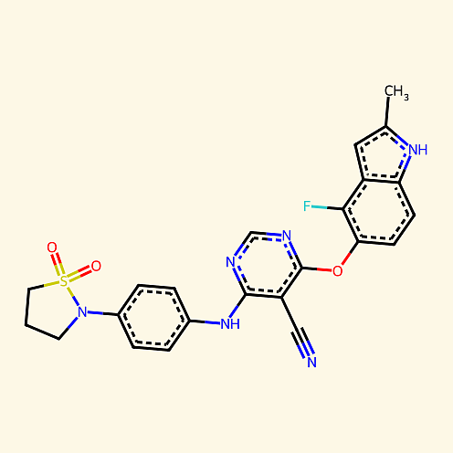 Cc1cc2c(F)c(Oc3ncnc(Nc4ccc(N5CCCS5(=O)=O)cc4)c3C#N)ccc2[nH]1